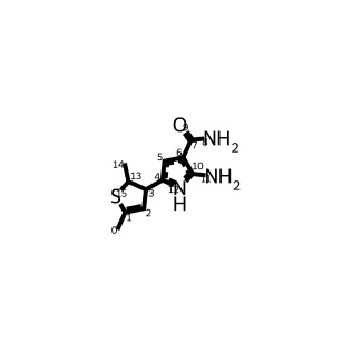 CC1=CC(c2cc(C(N)=O)c(N)[nH]2)C(C)S1